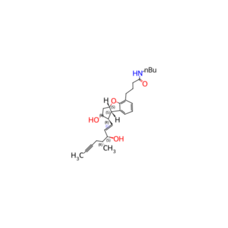 CC#CC[C@@H](C)[C@H](O)/C=C/[C@@H]1[C@H]2c3cccc(CCCC(=O)NCCCC)c3O[C@H]2C[C@H]1O